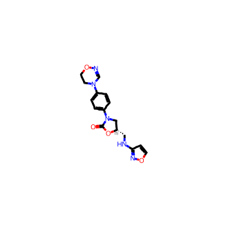 O=C1O[C@@H](CNc2ccon2)CN1c1ccc(N2C=NOCC2)cc1